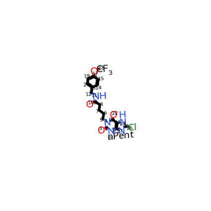 CCCCCn1c(=O)n(CCCCC(=O)NCc2ccc(OC(F)(F)F)cc2)c(=O)c2[nH]c(Cl)nc21